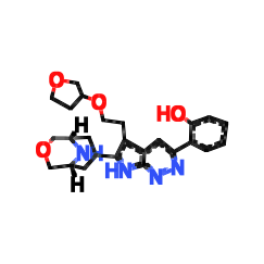 Oc1ccccc1-c1cc2c(CCOC3CCOC3)c(C3C[C@H]4COC[C@@H](C3)N4)[nH]c2nn1